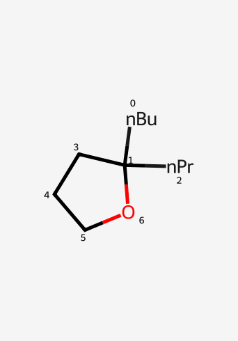 CCCCC1(CCC)CCCO1